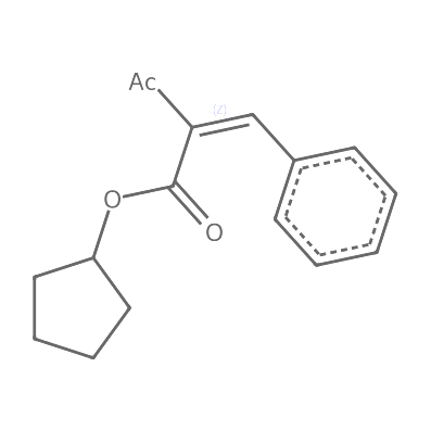 CC(=O)/C(=C/c1ccccc1)C(=O)OC1CCCC1